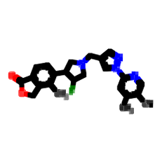 Cc1cc(-n2cc(CN3CC(F)C(c4ccc5c(c4C)COC5=O)C3)cn2)ncc1C#N